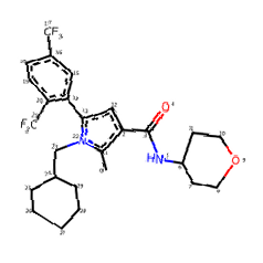 Cc1c(C(=O)NC2CCOCC2)cc(-c2cc(C(F)(F)F)ccc2C(F)(F)F)n1CC1CCCCC1